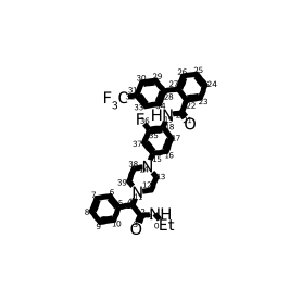 CCNC(=O)C(c1ccccc1)N1CCN(c2ccc(NC(=O)c3ccccc3-c3ccc(C(F)(F)F)cc3)c(F)c2)CC1